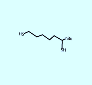 CCCCC(S)CCCCCS